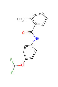 O=C(O)c1ccccc1C(=O)Nc1ccc(OC(F)F)cc1